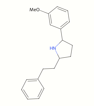 COc1cccc(C2CCC(CCc3ccccc3)N2)c1